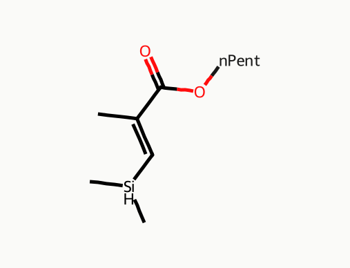 CCCCCOC(=O)C(C)=C[SiH](C)C